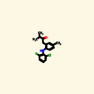 Cc1ccc(Nc2c(F)cccc2Cl)c(CC(=O)C(C)C)c1